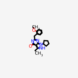 CCc1[nH]n(C2CCCC2)c2nc(Cc3ccccc3OC)nc(=O)c1-2